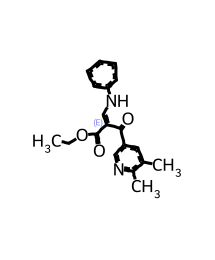 CCOC(=O)/C(=C/Nc1ccccc1)C(=O)c1cnc(C)c(C)c1